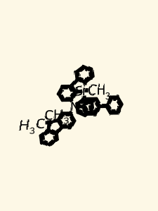 CC1(C)c2ccccc2-c2ccc(N(c3ccc(-c4ccccc4)cc3)c3cccc4c3[Si](C)(c3ccccc3)c3ccccc3-4)cc21